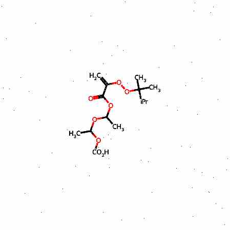 C=C(OOC(C)(C)C(C)C)C(=O)OC(C)OC(C)OC(=O)O